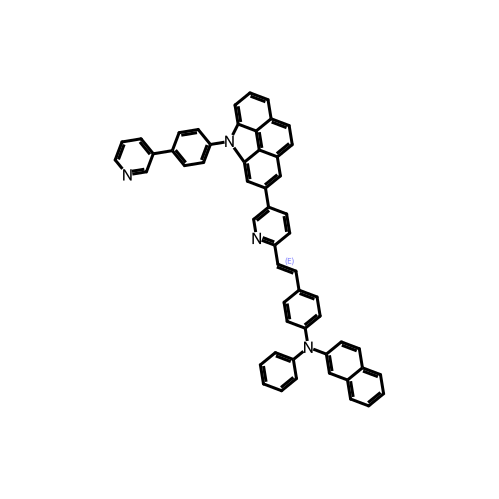 C(=C\c1ccc(-c2cc3ccc4cccc5c4c3c(c2)n5-c2ccc(-c3cccnc3)cc2)cn1)/c1ccc(N(c2ccccc2)c2ccc3ccccc3c2)cc1